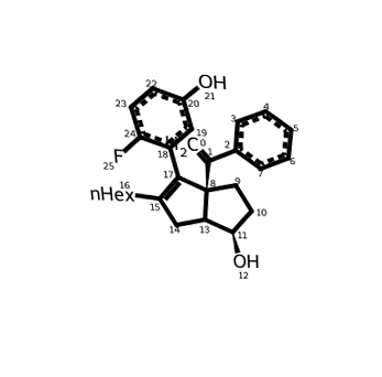 C=C(c1ccccc1)[C@@]12CC[C@@H](O)C1CC(CCCCCC)=C2c1cc(O)ccc1F